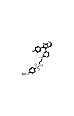 COc1ccc(S(=O)(=O)NCCNc2nccc(-c3c(-c4ccc(F)cc4)nc4sccn34)n2)cc1